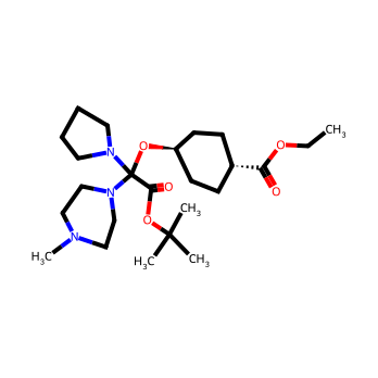 CCOC(=O)[C@H]1CC[C@H](OC(C(=O)OC(C)(C)C)(N2CCCC2)N2CCN(C)CC2)CC1